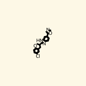 Clc1ccc2c(c1)CC(c1nc3ccc(-c4cnco4)cc3[nH]1)CO2